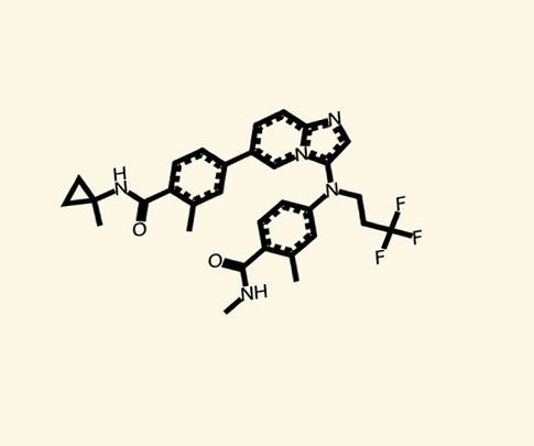 CNC(=O)c1ccc(N(CCC(F)(F)F)c2cnc3ccc(-c4ccc(C(=O)NC5(C)CC5)c(C)c4)cn23)cc1C